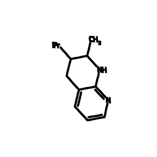 CC(C)C1Cc2cccnc2NC1C